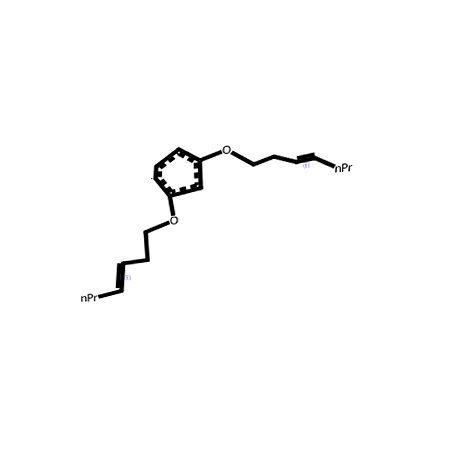 CCC/C=C/CCOc1[c]ccc(OCC/C=C/CCC)c1